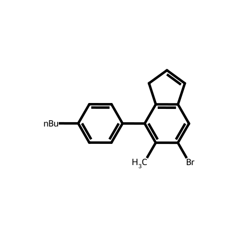 CCCCc1ccc(-c2c(C)c(Br)cc3c2CC=C3)cc1